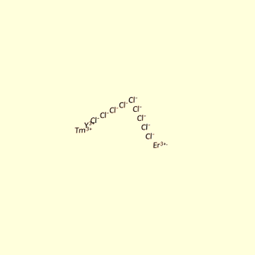 [Cl-].[Cl-].[Cl-].[Cl-].[Cl-].[Cl-].[Cl-].[Cl-].[Cl-].[Er+3].[Tm+3].[Y+3]